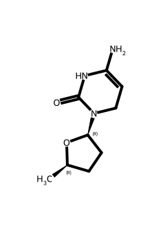 C[C@@H]1CC[C@H](N2CC=C(N)NC2=O)O1